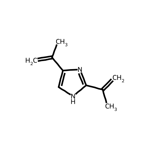 C=C(C)c1c[nH]c(C(=C)C)n1